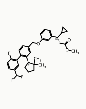 COC(=O)C[C@H](c1cccc(OCc2ccc(-c3cc(C(F)F)ccc3F)c([C@@H]3CCCC3(C)C)c2)c1)C1CC1